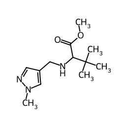 COC(=O)C(NCc1cnn(C)c1)C(C)(C)C